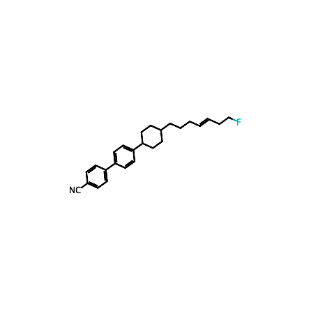 N#Cc1ccc(-c2ccc(C3CCC(CCCC=CCCF)CC3)cc2)cc1